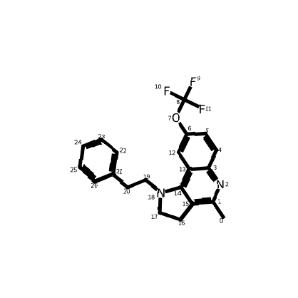 Cc1nc2ccc(OC(F)(F)F)cc2c2c1CCN2CCc1ccccc1